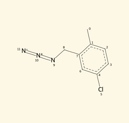 Cc1ccc(Cl)cc1CN=[N+]=[N-]